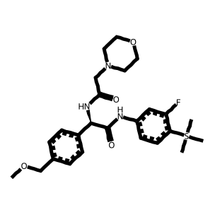 COCc1ccc([C@@H](NC(=O)CN2CCOCC2)C(=O)Nc2ccc(S(C)(C)C)c(F)c2)cc1